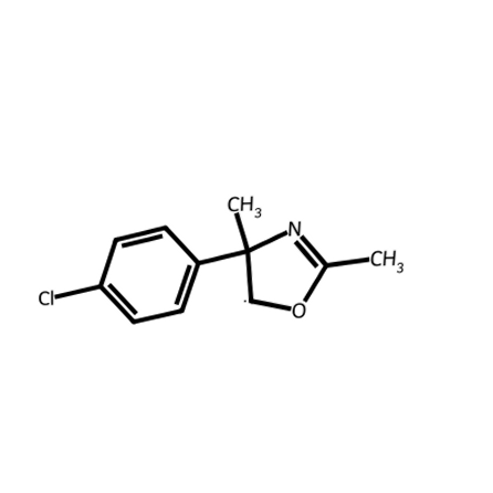 CC1=NC(C)(c2ccc(Cl)cc2)[CH]O1